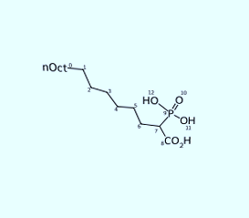 CCCCCCCCCCCCCCC(C(=O)O)P(=O)(O)O